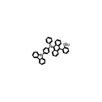 CC(C)(C)c1ccccc1-c1c2ccccc2c(N(c2ccccc2)c2ccc(-n3c4ccccc4c4ccccc43)cc2)c2ccccc12